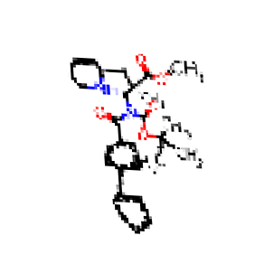 COC(=O)[C@](C)(C[C@@H]1C=CCCN1)CN(C(=O)OC(C)(C)C)C(=O)c1ccc(-c2ccccc2)cc1